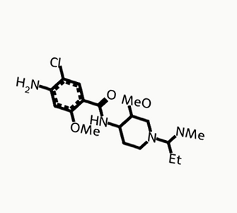 CCC(NC)N1CCC(NC(=O)c2cc(Cl)c(N)cc2OC)C(OC)C1